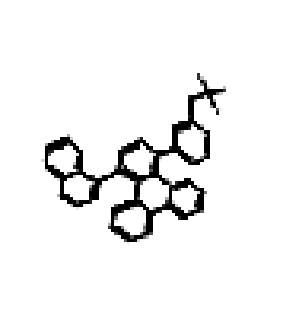 FC(F)(F)Cc1cccc(-c2ccc(-c3cccc4ccccc34)c3c4ccccc4c4ccccc4c23)c1